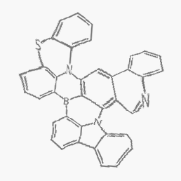 c1ccc2c(c1)Sc1cccc3c1N2c1cc2c(cnc4ccccc42)c2c1B3c1cccc3c4ccccc4n-2c13